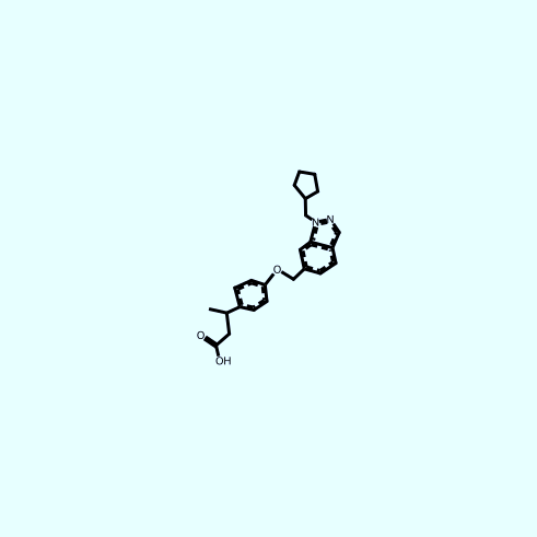 CC(CC(=O)O)c1ccc(OCc2ccc3cnn(CC4CCCC4)c3c2)cc1